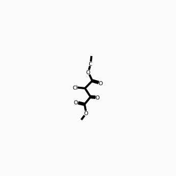 CCOC(=O)C(Cl)C(=O)C(=O)OC